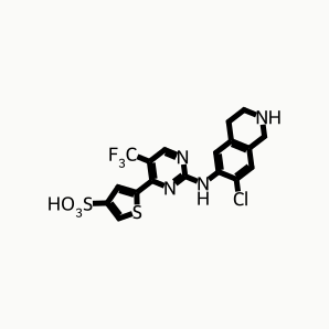 O=S(=O)(O)c1csc(-c2nc(Nc3cc4c(cc3Cl)CNCC4)ncc2C(F)(F)F)c1